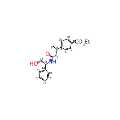 CCOC(=O)c1ccc([C@H](C)CC(=O)N[C@H](CO)c2ccccc2)cc1